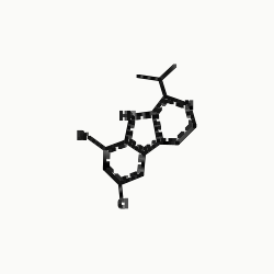 CC(C)c1nccc2c1[nH]c1c(Br)cc(Cl)cc12